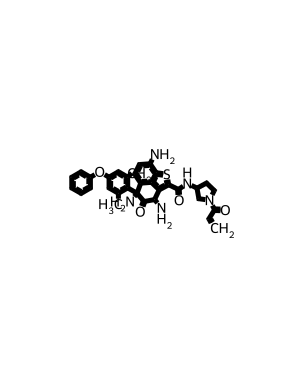 C=CC(=O)N1CCC(NC(=O)c2sc3c(N)ccc4c3c2C(N)C(=O)C4(N)c2c(C)cc(Oc3ccccc3)cc2C)C1